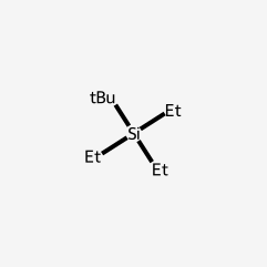 [CH2]C[Si](CC)(CC)C(C)(C)C